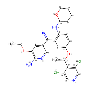 CCOc1cc(C(=N)c2cc(O[C@H](C)c3c(Cl)cncc3Cl)ccc2NC2CCCCO2)cnc1N